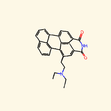 CCN(CC)CCc1cc2c3c(ccc4c5cccc6cccc(c1c34)c65)C(=O)NC2=O